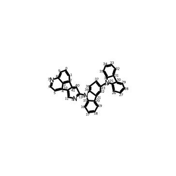 c1cc2c3c(ccnc3c1)-c1cnc(-n3c4ccccc4c4cc(-n5c6ccccc6c6ccccc65)ccc43)cc1-2